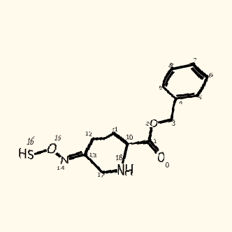 O=C(OCc1ccccc1)[C@@H]1CCC(=NOS)CN1